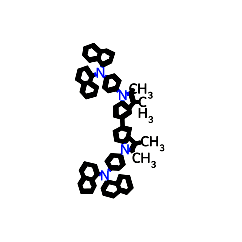 Cc1c(C)n(-c2ccc(N(c3cccc4ccccc34)c3cccc4ccccc34)cc2)c2ccc(-c3ccc4c(c3)c(C)c(C)n4-c3ccc(N(c4cccc5ccccc45)c4cccc5ccccc45)cc3)cc12